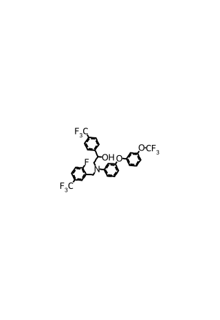 OC(CN(Cc1cc(C(F)(F)F)ccc1F)c1cccc(Oc2cccc(OC(F)(F)F)c2)c1)c1ccc(C(F)(F)F)cc1